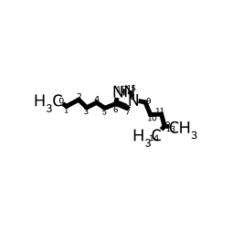 CCCCCCc1cn(CCCC(C)C)nn1